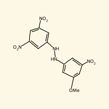 COc1cc(NNc2cc([N+](=O)[O-])cc([N+](=O)[O-])c2)cc([N+](=O)[O-])c1